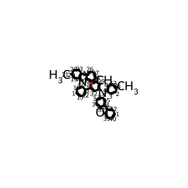 Cc1ccc(N(c2cccc(-c3ccccc3-n3c4cc(C)ccc4c4ccc(C)cc43)c2)c2ccc3oc4ccccc4c3c2)cc1